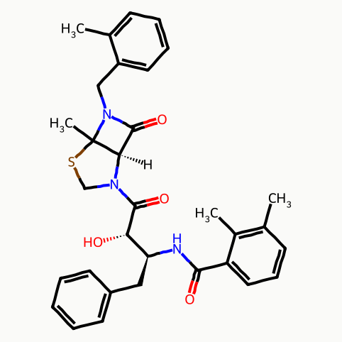 Cc1ccccc1CN1C(=O)[C@H]2N(C(=O)[C@@H](O)[C@H](Cc3ccccc3)NC(=O)c3cccc(C)c3C)CSC21C